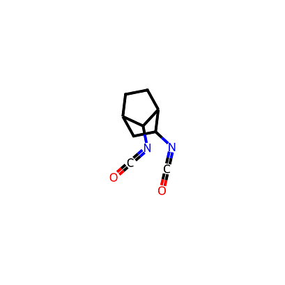 O=C=NC1CC2CCC1C2N=C=O